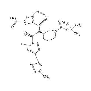 Cn1cc(-c2ccc(C(=O)N(c3nccc4sc(C(=O)O)cc34)[C@@H]3CCCN(C(=O)OC(C)(C)C)C3)c(F)c2)nn1